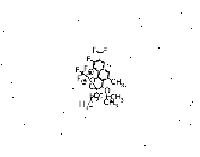 CCOC(=O)[C@@H](OC(C)(C)C)c1c(C)cc2cc(C(F)F)c(F)cc2c1OS(=O)(=O)C(F)(F)F